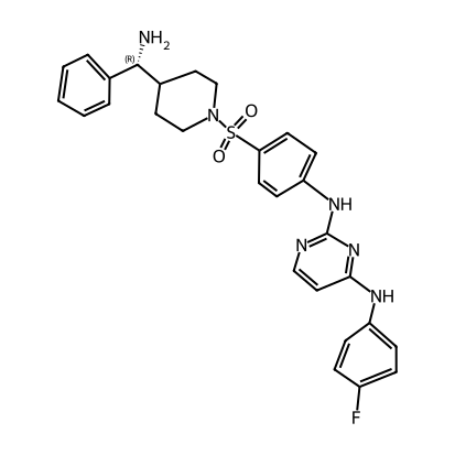 N[C@@H](c1ccccc1)C1CCN(S(=O)(=O)c2ccc(Nc3nccc(Nc4ccc(F)cc4)n3)cc2)CC1